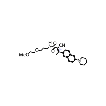 COCCOCCCNS(=O)(=O)/C(C#N)=C(\C)c1ccc2cc(N3CCCCC3)ccc2c1